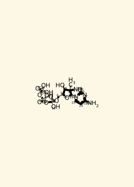 C[C@@]1(N)[C@H](O)[C@@H](COP(=O)(O)OP(=O)(O)OP(=O)(O)O)O[C@H]1n1ccc(N)nc1=O